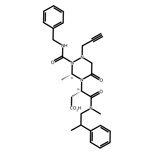 C#CCN1CC(=O)N([C@@H](CC(=O)O)C(=O)N(C)CC(C)c2ccccc2)[C@H](C)N1C(=O)NCc1ccccc1